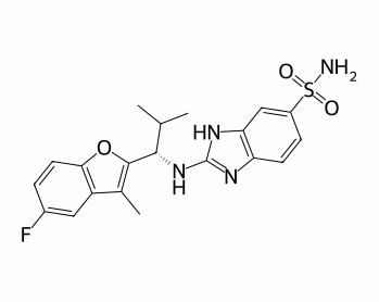 Cc1c([C@@H](Nc2nc3ccc(S(N)(=O)=O)cc3[nH]2)C(C)C)oc2ccc(F)cc12